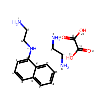 NCCN.NCCNc1cccc2ccccc12.O=C(O)C(=O)O